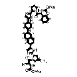 C=C1C[C@@H](c2ncc(-c3ccc4cc(-c5ccc(-c6cnc(C7CCCN7C(=O)[C@H](NC(=O)OC)c7ccccc7)[nH]6)cc5)ccc4c3)[nH]2)N(C(=O)C(NC(=O)OC)C(C)C)C1